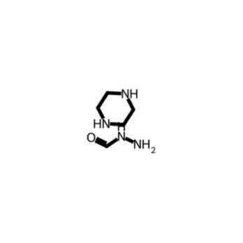 C1CNCCN1.NNC=O